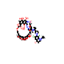 CO[C@H]1/C=C/O[C@@]2(C)Oc3c(C)c(O)c4c(O)c(c(/C=N/N5CCC(N(C)C6(C7CCN(c8c(F)cc9c(=O)c(C)cn(C%10CC%10)c9c8Cl)C7)CC6)CC5)c(O)c4c3C2=O)NC(=O)/C(C)=C\C=C\[C@H](C)[C@H](O)[C@@H](C)[C@@H](O)[C@@H](C)[C@H](OC(C)=O)[C@@H]1C